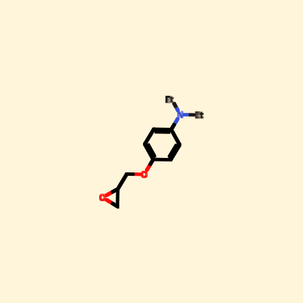 CCN(CC)c1ccc(OCC2CO2)cc1